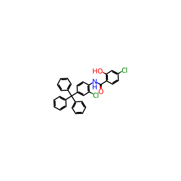 O=C(Nc1ccc(C(c2ccccc2)(c2ccccc2)c2ccccc2)cc1Cl)c1ccc(Cl)cc1O